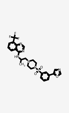 CC(CN1CCN(S(=O)(=O)c2cccc(-c3cnco3)c2)CC1)Nc1ncnc2c(C(F)(F)F)cccc12